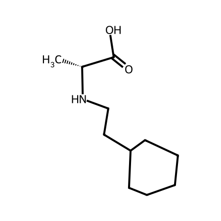 C[C@@H](NCCC1CCCCC1)C(=O)O